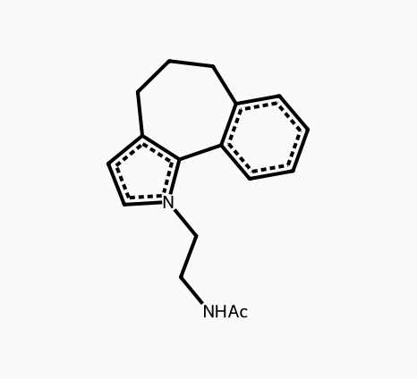 CC(=O)NCCn1ccc2c1-c1ccccc1CCC2